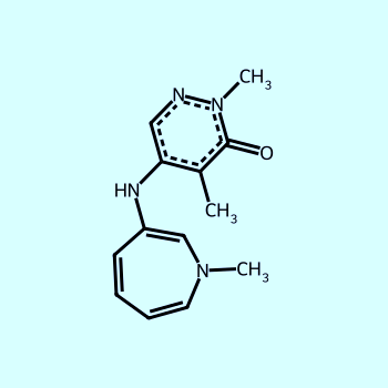 Cc1c(NC2=CN(C)C=CC=C2)cnn(C)c1=O